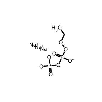 CCOOP(=O)([O-])OP(=O)([O-])[O-].[Na+].[Na+].[Na+]